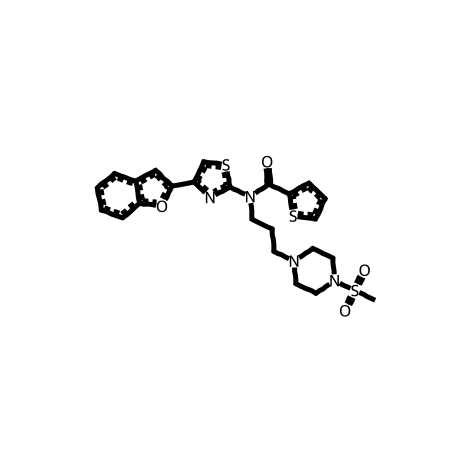 CS(=O)(=O)N1CCN(CCCN(C(=O)c2cccs2)c2nc(-c3cc4ccccc4o3)cs2)CC1